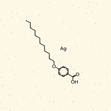 CCCCCCCCCCCCOc1ccc(C(=O)O)cc1.[Ag]